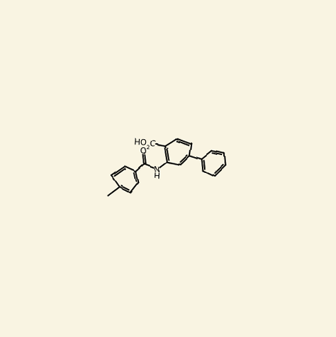 Cc1ccc(C(=O)Nc2cc(-c3ccccc3)ccc2C(=O)O)cc1